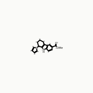 COC(=O)c1ccc2[nH]c3c(c2c1)CCCC3n1cccc1